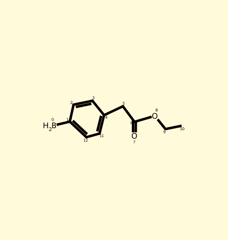 Bc1ccc(CC(=O)OCC)cc1